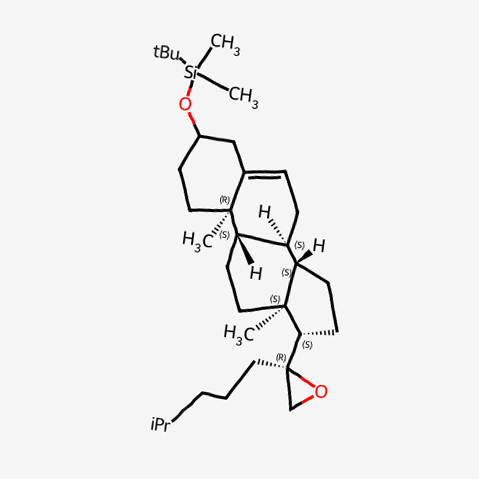 CC(C)CCC[C@@]1([C@H]2CC[C@H]3[C@@H]4CC=C5CC(O[Si](C)(C)C(C)(C)C)CC[C@]5(C)[C@H]4CC[C@]23C)CO1